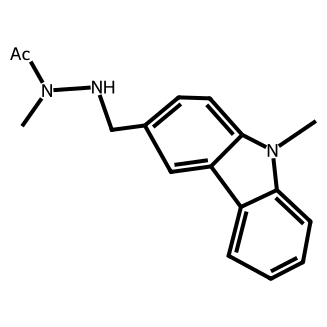 CC(=O)N(C)NCc1ccc2c(c1)c1ccccc1n2C